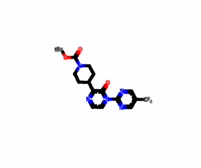 CC(C)(C)OC(=O)N1CCC(c2nccn(-c3ncc(C(F)(F)F)cn3)c2=O)CC1